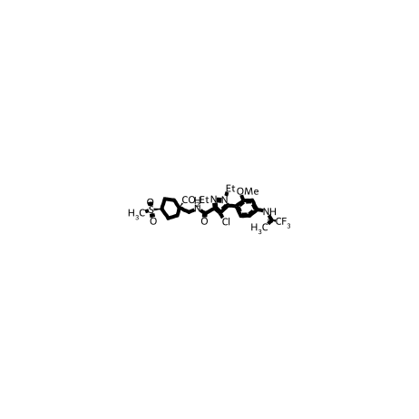 CCOC(=O)[C@]1(CNC(=O)c2nn(CC)c(-c3ccc(N[C@H](C)C(F)(F)F)cc3OC)c2Cl)CC[C@@H](S(C)(=O)=O)CC1